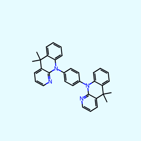 CC1(C)c2ccccc2N(c2ccc(N3c4ccccc4C(C)(C)c4cccnc43)cc2)c2ncccc21